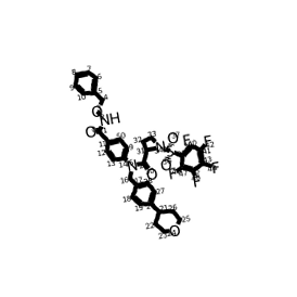 O=C(NOCc1ccccc1)c1ccc(N(Cc2ccc(C3CCOCC3)cc2)C(=O)C2CCN2S(=O)(=O)c2c(F)c(F)c(F)c(F)c2F)cc1